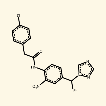 CC(C)C(c1ccc(NC(=O)Cc2ccc(Cl)cc2)c([N+](=O)[O-])c1)n1cncn1